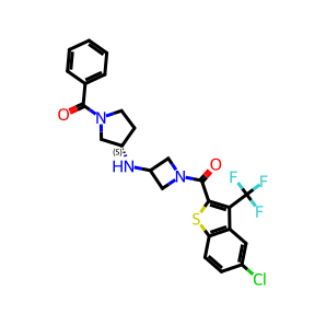 O=C(c1ccccc1)N1CC[C@H](NC2CN(C(=O)c3sc4ccc(Cl)cc4c3C(F)(F)F)C2)C1